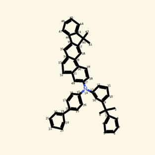 CC(C)(c1ccccc1)c1cccc(N(c2ccc(-c3ccccc3)cc2)c2ccc3c(ccc4cc5c(cc43)C(C)(C)c3ccccc3-5)c2)c1